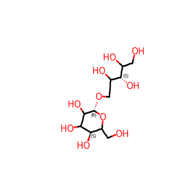 OCC(O)[C@H](O)C(O)CO[C@@H]1OC(CO)[C@@H](O)C(O)C1O